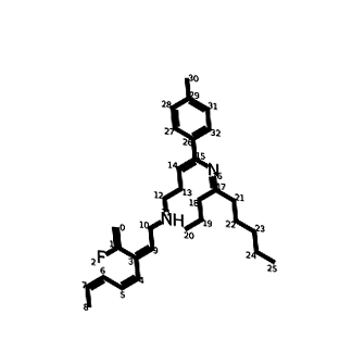 C=C(F)C(/C=C\C=C/C)=C\CNCC/C=C(\N=C(/CCC)CCCCC)c1ccc(C)cc1